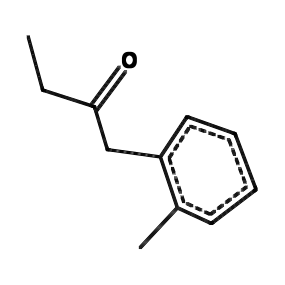 CCC(=O)Cc1ccccc1C